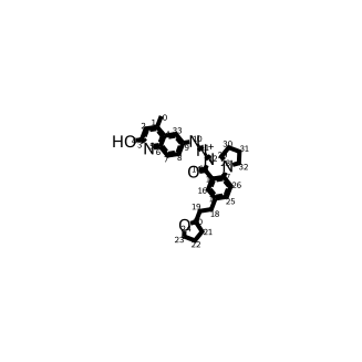 Cc1cc(O)nc2ccc(N=[N+]=NC(=O)c3cc(CCC4CCCO4)ccc3N3CCCC3)cc12